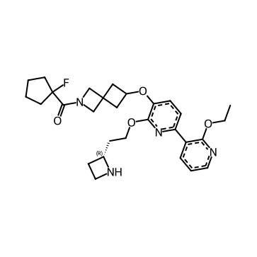 CCOc1ncccc1-c1ccc(OC2CC3(C2)CN(C(=O)C2(F)CCCC2)C3)c(OCC[C@H]2CCN2)n1